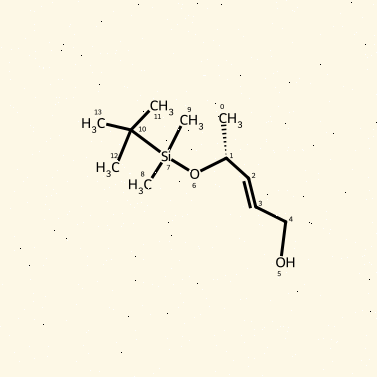 C[C@H](/C=C/CO)O[Si](C)(C)C(C)(C)C